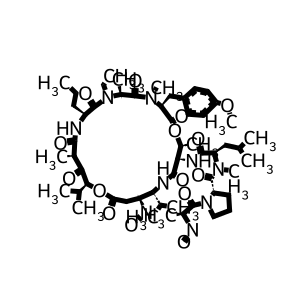 CCC[C@@H]1NC(=O)[C@@H](C)C(=O)[C@H](C(C)C)OC(=O)C[C@H](N=O)[C@@H](C(C)C)NC(=O)[C@@H](NC(=O)[C@@H](CC(C)C)N(C)C(=O)[C@@H]2CCCN2C(=O)[C@H](C)N=O)[C@@H](C)OC(=O)[C@H](Cc2ccc(OC)cc2)N(C)C(=O)[C@H](C)N(CC)C1=O